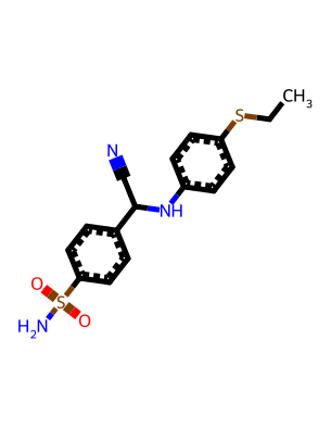 CCSc1ccc(NC(C#N)c2ccc(S(N)(=O)=O)cc2)cc1